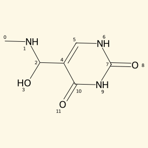 CNC(O)c1c[nH]c(=O)[nH]c1=O